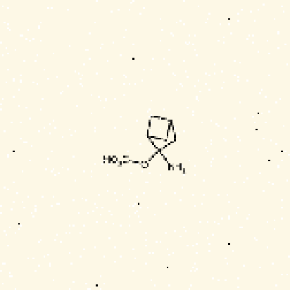 NC1(OC(=O)O)CC2CC1C2